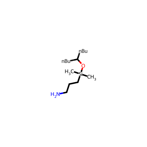 CCCCC(CCCC)O[Si](C)(C)CCCN